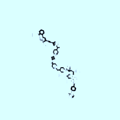 Cc1nccn1-c1ccc([C@H](C)NC(=O)[C@@H]2C[C@@H](O)CN2C(=O)[C@@H](c2cc(N3CCC(CN4CCC(O[C@H]5C[C@H](N6CCC(C(C)n7cc(C#Cc8cc(-c9ccccc9O)nnc8N)cn7)CC6)C5)CC4)CC3)no2)C(C)C)cc1